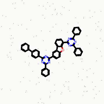 c1ccc(-c2ccc(-c3nc(-c4ccccc4)nc(-c4ccc5oc6c(-c7nc(-c8ccccc8)nc(-c8ccccc8)n7)cccc6c5c4)n3)cc2)cc1